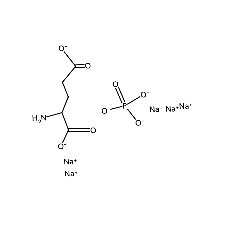 NC(CCC(=O)[O-])C(=O)[O-].O=P([O-])([O-])[O-].[Na+].[Na+].[Na+].[Na+].[Na+]